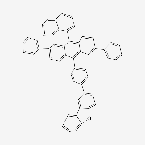 c1ccc(-c2ccc3c(-c4cccc5ccccc45)c4cc(-c5ccccc5)ccc4c(-c4ccc(-c5ccc6oc7ccccc7c6c5)cc4)c3c2)cc1